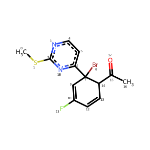 CSc1nccc(C2(Br)C=C(F)C=CC2C(C)=O)n1